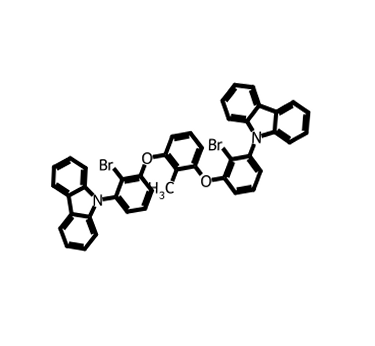 Cc1c(Oc2cccc(-n3c4ccccc4c4ccccc43)c2Br)cccc1Oc1cccc(-n2c3ccccc3c3ccccc32)c1Br